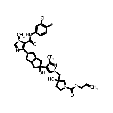 C=CCOC(=O)N1CCC(O)(Cn2cc(C3(O)CC4CC(c5ncn(C)c5C(=O)Nc5ccc(F)c(Cl)c5)CC4C3)c(C(F)(F)F)n2)C1